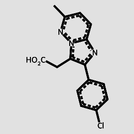 Cc1ccc2nc(-c3ccc(Cl)cc3)c(CC(=O)O)n2n1